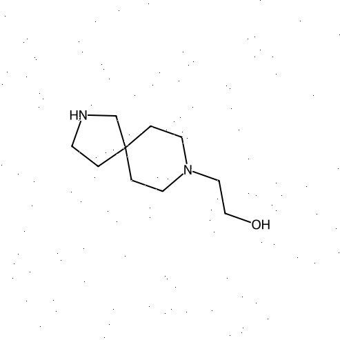 OCCN1CCC2(CCNC2)CC1